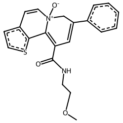 COCCNC(=O)C1=C2c3sccc3C=C[N+]2([O-])CC(c2ccccc2)=C1